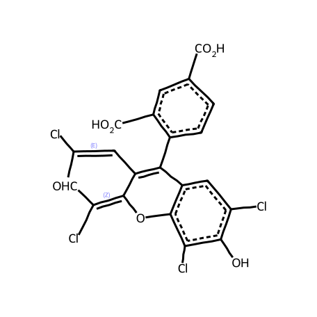 C/C(Cl)=C\C1=C(c2ccc(C(=O)O)cc2C(=O)O)c2cc(Cl)c(O)c(Cl)c2O/C1=C(\Cl)C=O